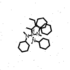 CCC(C1CCCCC1)C(C)[PH](N(C)C1CCCCC1)(N(C)C1CCCCC1)N(C)C1CCCCC1